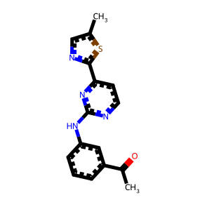 CC(=O)c1cccc(Nc2nccc(-c3ncc(C)s3)n2)c1